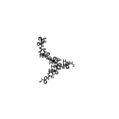 CCC(=O)OCc1ccc(NC(=O)[C@H](CCCNC(N)=O)NC(=O)[C@@H](NC(=O)COCC(=O)Nc2ccc(CCC(=O)N3CCC3=O)cc2)C(C)C)cc1